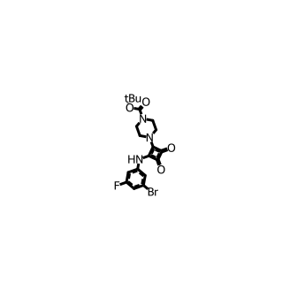 CC(C)(C)OC(=O)N1CCN(c2c(Nc3cc(F)cc(Br)c3)c(=O)c2=O)CC1